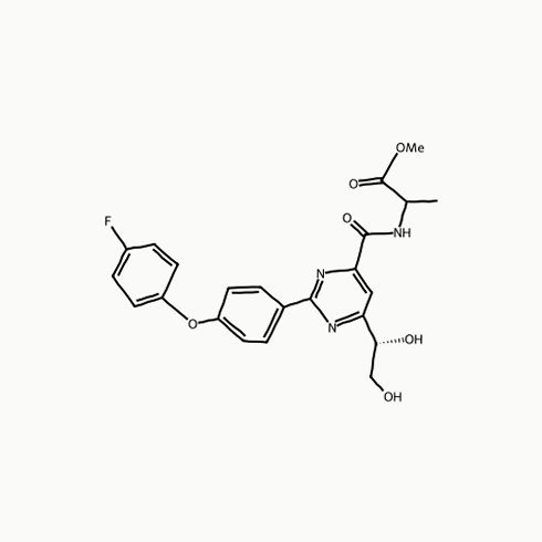 COC(=O)C(C)NC(=O)c1cc([C@H](O)CO)nc(-c2ccc(Oc3ccc(F)cc3)cc2)n1